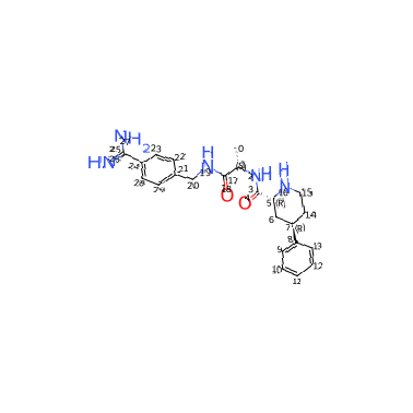 C[C@H](NC(=O)[C@H]1C[C@H](c2ccccc2)CCN1)C(=O)NCc1ccc(C(=N)N)cc1